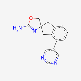 NC1=NC2(CO1)Cc1cccc(-c3cncnc3)c1C2